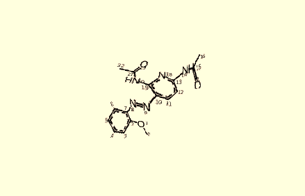 COc1ccccc1/N=N/c1ccc(NC(C)=O)nc1NC(C)=O